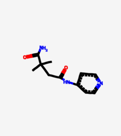 CC(C)(CC(=O)Nc1ccncc1)C(N)=O